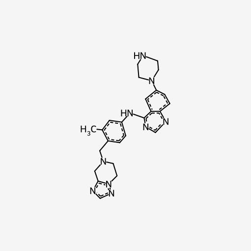 Cc1cc(Nc2ncnc3ccc(N4CCNCC4)cc23)ccc1CN1CCn2ncnc2C1